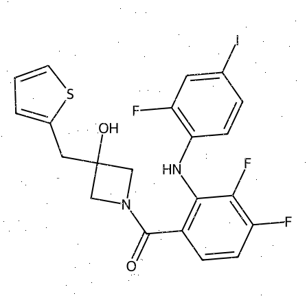 O=C(c1ccc(F)c(F)c1Nc1ccc(I)cc1F)N1CC(O)(Cc2cccs2)C1